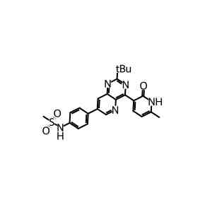 Cc1ccc(-c2nc(C(C)(C)C)nc3cc(-c4ccc(NS(C)(=O)=O)cc4)cnc23)c(=O)[nH]1